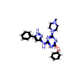 CN1CCN(c2nc(Nc3cc(-c4ccccc4)[nH]n3)nc(Oc3ccccc3)n2)CC1